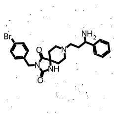 NC(CCN1CCC2(CC1)NC(=O)N(Cc1ccc(Br)cc1)C2=O)c1ccccc1